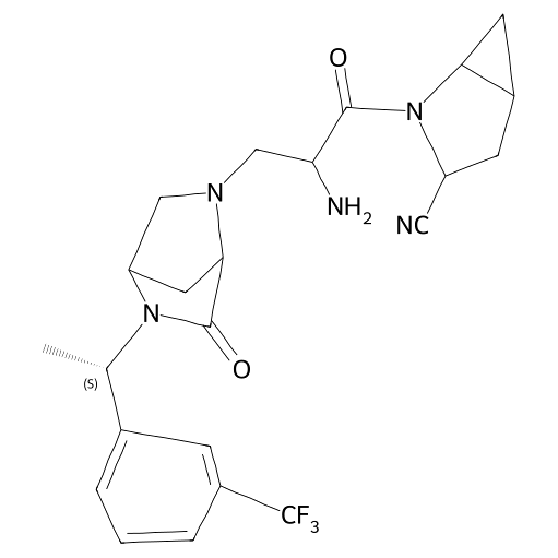 C[C@@H](c1cccc(C(F)(F)F)c1)N1C(=O)C2CC1CN2CC(N)C(=O)N1C(C#N)CC2CC21